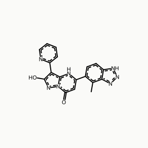 Cc1c(-c2cc(=O)n3nc(O)c(-c4ccccn4)c3[nH]2)ccc2[nH]nnc12